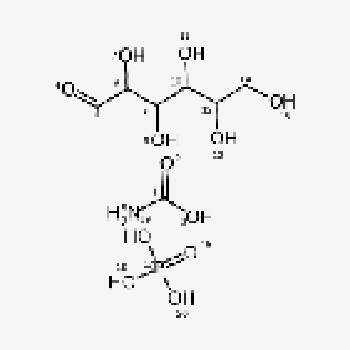 NC(=O)O.O=CC(O)C(O)C(O)C(O)CO.O=P(O)(O)O